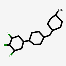 CC1CCC(CC2CCC(C3CC(F)C(F)C(F)C3)CC2)CC1